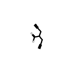 C#CCC(CC#C)C(=O)Cl